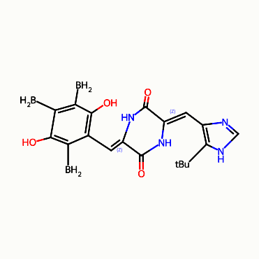 Bc1c(B)c(O)c(/C=c2\[nH]c(=O)/c(=C/c3nc[nH]c3C(C)(C)C)[nH]c2=O)c(B)c1O